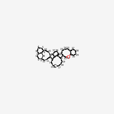 C1=Cc2cccc3c2C/C1=C\C=C(\c1ccccccc(-c2ccccc4ccccc4oc2)c2ccccc12)C/C=C\3